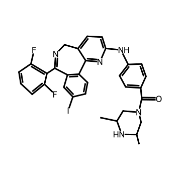 CC1CN(C(=O)c2ccc(Nc3ccc4c(n3)-c3ccc(I)cc3C(c3c(F)cccc3F)=NC4)cc2)CC(C)N1